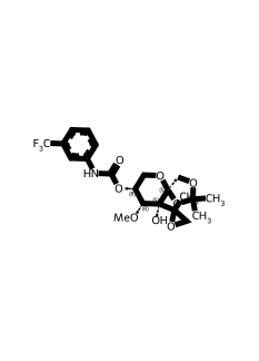 CO[C@@H]1[C@H](OC(=O)Nc2cccc(C(F)(F)F)c2)CO[C@]2(COC(C)(C)O2)[C@@]1(O)C1(C)CO1